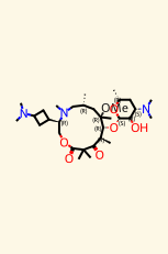 CO[C@]1(C)C[C@@H](C)CN(C)[C@H](C2CC(N(C)C)C2)COC(=O)C(C)(C)C(=O)[C@H](C)[C@H]1O[C@@H]1O[C@H](C)C[C@H](N(C)C)[C@H]1O